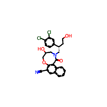 N#Cc1cc2ccccc2c2c1OCC(O)CN(C[C@@H](CCO)c1ccc(Cl)c(Cl)c1)C2=O